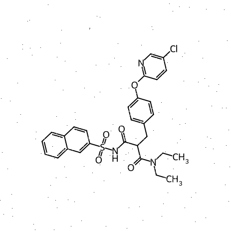 CCN(CC)C(=O)C(Cc1ccc(Oc2ccc(Cl)cn2)cc1)C(=O)NS(=O)(=O)c1ccc2ccccc2c1